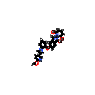 COc1ccc(C2CN([C@@H]3CCC[C@H]3Oc3ccc4c(c3)CN(N3C(=O)CCCC3=O)C4=O)C2)cn1